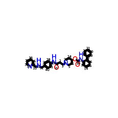 O=C(CCN1CCC(OC(=O)Nc2ccccc2-c2ccccc2)CC1)Nc1ccc(CNCc2ccccn2)cc1